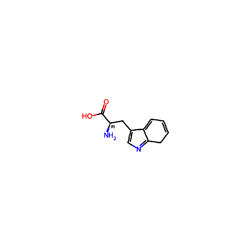 N[C@H](CC1=CN=C2CC=CC=C12)C(=O)O